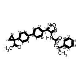 CC(=O)C1(c2ccc(-c3ccc(-c4nonc4NC(=O)O[C@H](C)c4ccccc4)cc3)cc2)CC1